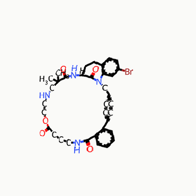 CC1(C)CNCCOC(=O)CCCNC(=O)c2ccccc2-c2ccc(cc2)CN2C(=O)[C@@H](CCc3ccc(Br)cc32)NC1=O